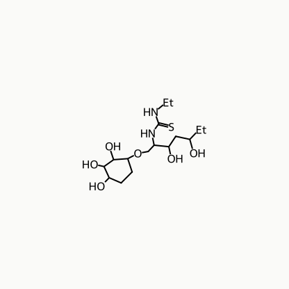 CCNC(=S)NC(COC1CCC(O)C(O)C1O)C(O)CC(O)CC